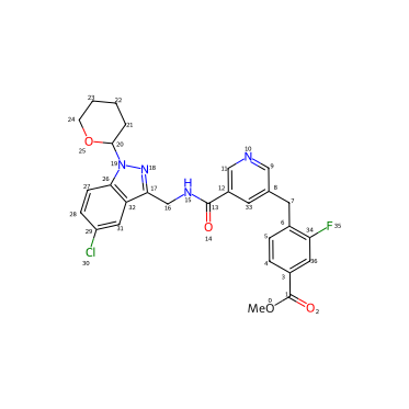 COC(=O)c1ccc(Cc2cncc(C(=O)NCc3nn(C4CCCCO4)c4ccc(Cl)cc34)c2)c(F)c1